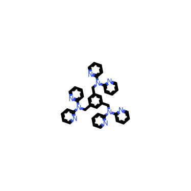 c1ccc(N(Cc2cc(CN(c3ccccn3)c3ccccn3)cc(CN(c3ccccn3)c3ccccn3)c2)c2ccccn2)nc1